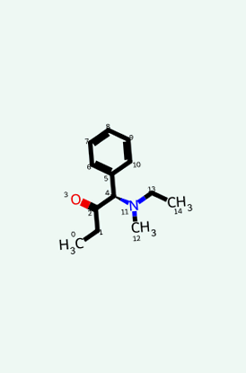 CCC(=O)[C@@H](c1ccccc1)N(C)CC